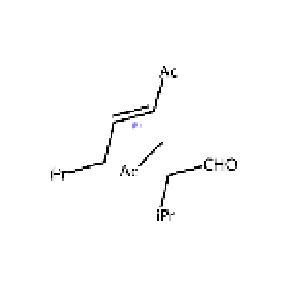 CC(=O)/C=C/CC(C)C.CC(C)=O.CC(C)CC=O